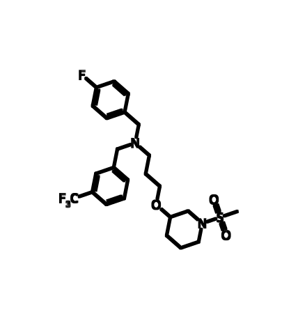 CS(=O)(=O)N1CCCC(OCCCN(Cc2ccc(F)cc2)Cc2cccc(C(F)(F)F)c2)C1